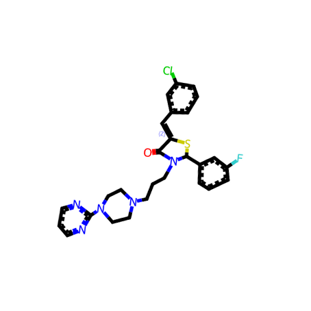 O=C1/C(=C/c2cccc(Cl)c2)SC(c2cccc(F)c2)N1CCCN1CCN(c2ncccn2)CC1